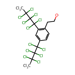 [O]CCc1ccc(C(Cl)(Cl)C(Cl)(Cl)C(Cl)(Cl)C(Cl)(Cl)Cl)cc1C(Cl)(Cl)C(Cl)(Cl)C(Cl)(Cl)C(Cl)(Cl)Cl